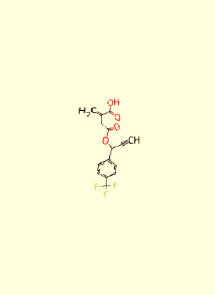 C#CC(OC(=O)CC(=C)C(=O)O)c1ccc(C(F)(F)F)cc1